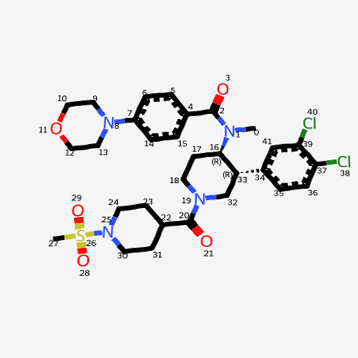 CN(C(=O)c1ccc(N2CCOCC2)cc1)[C@@H]1CCN(C(=O)C2CCN(S(C)(=O)=O)CC2)C[C@H]1c1ccc(Cl)c(Cl)c1